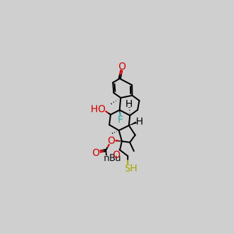 CCCCC(=O)O[C@]1(C(=O)CS)C(C)C[C@H]2[C@@H]3CCC4=CC(=O)C=C[C@]4(C)[C@@]3(F)C(O)C[C@@]21C